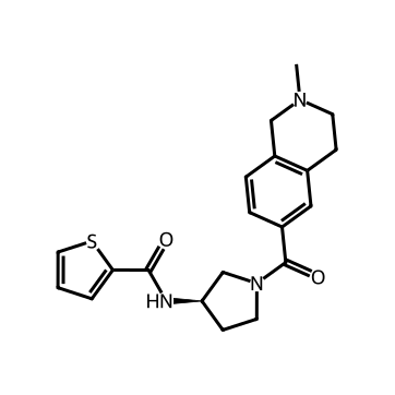 CN1CCc2cc(C(=O)N3CC[C@@H](NC(=O)c4cccs4)C3)ccc2C1